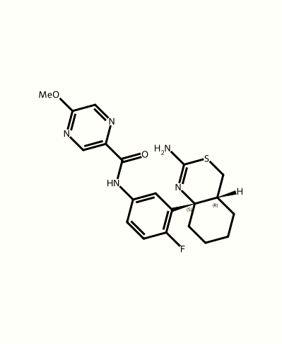 COc1cnc(C(=O)Nc2ccc(F)c([C@]34CCCC[C@H]3CSC(N)=N4)c2)cn1